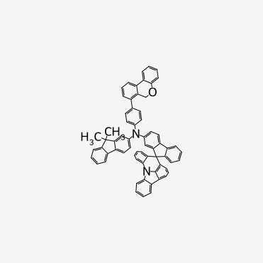 CC1(C)c2ccccc2-c2ccc(N(c3ccc(-c4cccc5c4COc4ccccc4-5)cc3)c3ccc4c(c3)C3(c5ccccc5-4)c4ccccc4-n4c5ccccc5c5cccc3c54)cc21